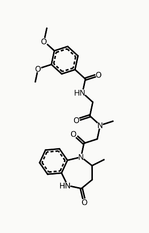 COc1ccc(C(=O)NCC(=O)N(C)CC(=O)N2c3ccccc3NC(=O)CC2C)cc1OC